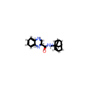 O=C(NCC12CC3CC(CC(C3)C1)C2)c1cnc2ccccc2n1